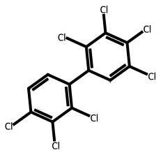 Clc1[c]c(-c2ccc(Cl)c(Cl)c2Cl)c(Cl)c(Cl)c1Cl